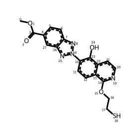 COC(=O)c1ccc2nn(-c3ccc4c(OCCS)nccc4c3O)nc2c1